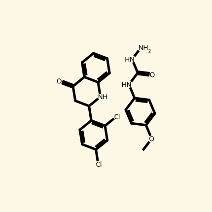 COc1ccc(NC(=O)NN)cc1.O=C1CC(c2ccc(Cl)cc2Cl)Nc2ccccc21